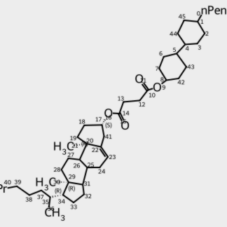 CCCCCC1CCC(C2CCC(OC(=O)CCC(=O)O[C@H]3CC[C@@]4(C)C(=CCC5C4CC[C@@]4(C)C5CC[C@@H]4C(C)CCCC(C)C)C3)CC2)CC1